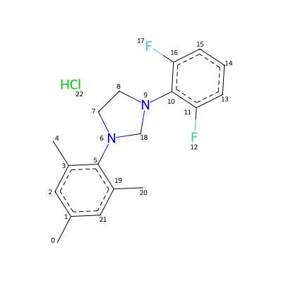 Cc1cc(C)c(N2CCN(c3c(F)cccc3F)C2)c(C)c1.Cl